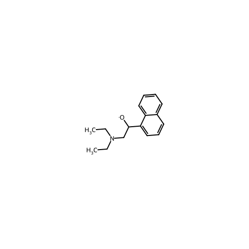 CCN(CC)CC([O])c1cccc2ccccc12